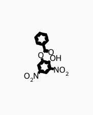 O=C(Oc1cc([N+](=O)[O-])cc([N+](=O)[O-])c1O)c1ccccc1